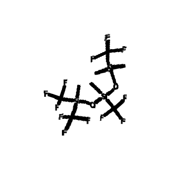 C[Si](C)(O[Si](C)(O[Si](C)(C(F)(F)F)C(F)(F)F)C(F)(F)F)C(F)(F)F